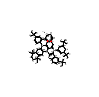 Cc1cc2c3c(c1)N(C1=CC(C(C)(C)C)CC(C(C)(C)C)=C1)c1c(sc4ccc(C(C)(C)C)cc14)B3C1=C(CC3C(=C1)C(C)(C)CCC3(C)C)N2c1ccc(C(C)(C)C)cc1C1=CC=CC[C@H]1C